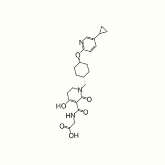 O=C(O)CNC(=O)C1=C(O)CCN(C[C@H]2CC[C@H](Oc3ccc(C4CC4)cn3)CC2)C1=O